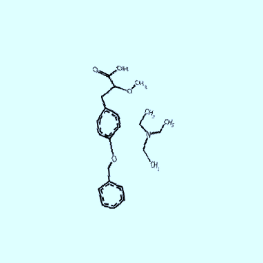 CCN(CC)CC.COC(Cc1ccc(OCc2ccccc2)cc1)C(=O)O